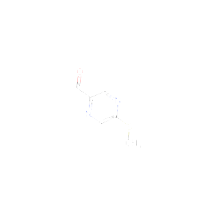 CSc1cnc(C=O)cn1